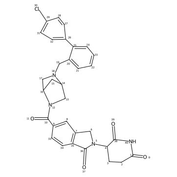 O=C1CCC(N2Cc3cc(C(=O)N4CC5CC4CN5Cc4ccccc4-c4ccc(Cl)cc4)ccc3C2=O)C(=O)N1